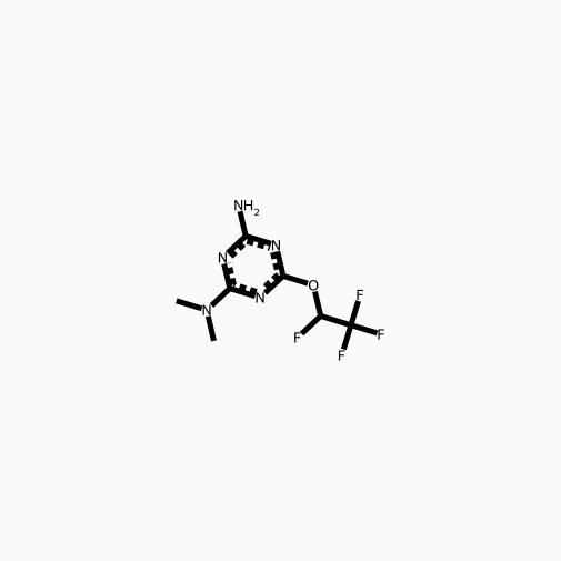 CN(C)c1nc(N)nc(OC(F)C(F)(F)F)n1